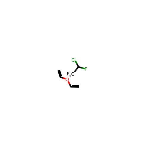 C=COC=C.FC(Cl)C(F)(F)F